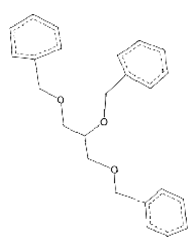 c1ccc(COCC(COCc2ccccc2)OCc2ccccc2)cc1